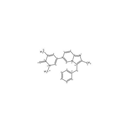 Cc1nc2ccc(-c3cc(C)c(=O)n(C)c3)cn2c1Cc1ccccc1